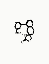 COc1cncc(-c2cccc3c2CC2(CC3)COC(=O)N2)c1